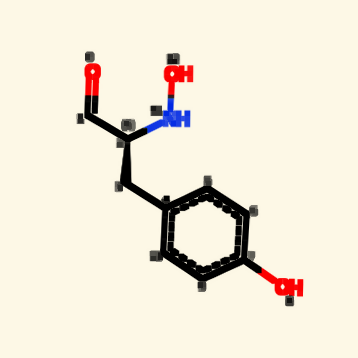 O=C[C@H](Cc1ccc(O)cc1)NO